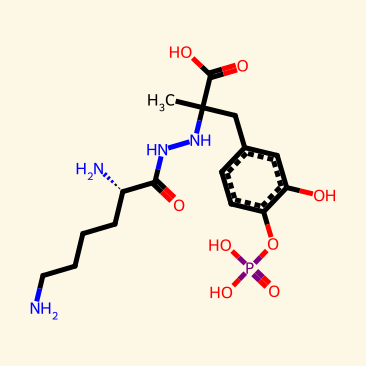 CC(Cc1ccc(OP(=O)(O)O)c(O)c1)(NNC(=O)[C@@H](N)CCCCN)C(=O)O